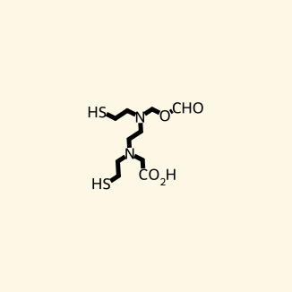 O=COCN(CCS)CCN(CCS)CC(=O)O